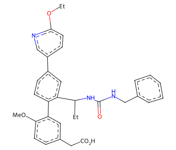 CCOc1ccc(-c2ccc(-c3cc(CC(=O)O)ccc3OC)c(C(CC)NC(=O)NCc3ccccc3)c2)cn1